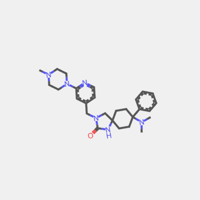 CN1CCN(c2cc(CN3CC4(CCC(c5ccccc5)(N(C)C)CC4)NC3=O)ccn2)CC1